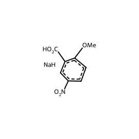 COc1ccc([N+](=O)[O-])cc1C(=O)O.[NaH]